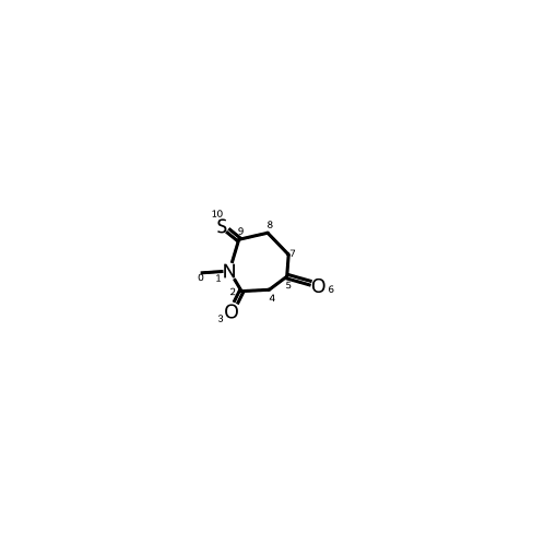 CN1C(=O)CC(=O)CCC1=S